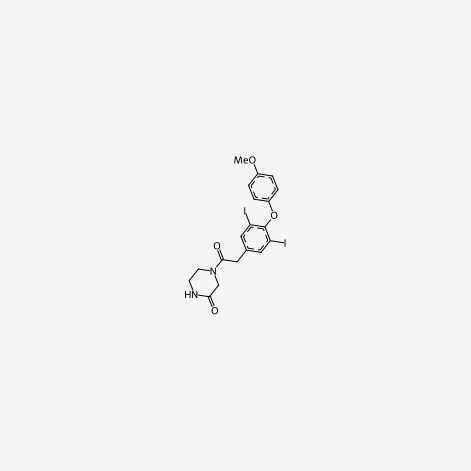 COc1ccc(Oc2c(I)cc(CC(=O)N3CCNC(=O)C3)cc2I)cc1